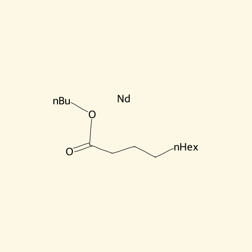 CCCCCCCCCC(=O)OCCCC.[Nd]